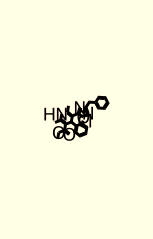 COC(=O)C1=C(C)NC(C)=C(c2nc(Cc3ccccc3)no2)C1c1ccccc1Cl